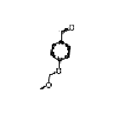 COCOc1ccc([C]=O)cc1